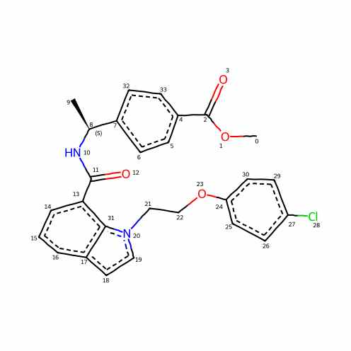 COC(=O)c1ccc([C@H](C)NC(=O)c2cccc3ccn(CCOc4ccc(Cl)cc4)c23)cc1